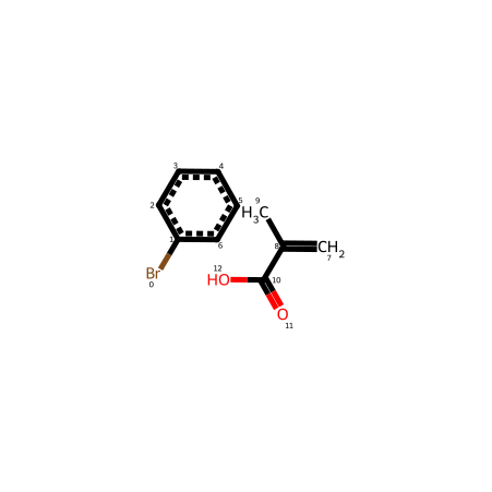 Brc1ccccc1.C=C(C)C(=O)O